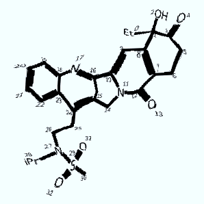 CC[C@@]1(O)C(=O)CCc2c1cc1n(c2=O)Cc2c-1nc1ccccc1c2CCN(C(C)C)S(C)(=O)=O